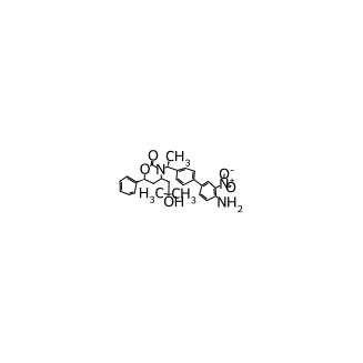 C[C@@H](c1ccc(-c2ccc(N)c([N+](=O)[O-])c2)cc1)N1C(=O)O[C@H](c2ccccc2)CC1CC(C)(C)O